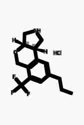 CCCc1cc2c(c(C(F)(F)F)c1)CO[C@@H]1CNC[C@H]21.Cl